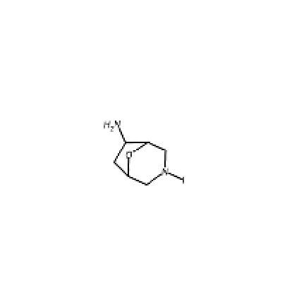 NC1CC2CN(I)CC1O2